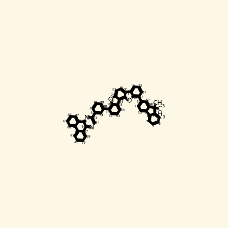 CC1(C)c2ccccc2-c2ccc(-c3cccc4c3oc3c4ccc4oc5c(-c6cccc(-c7cnc8c9ccccc9c9ccccc9c8n7)c6)cccc5c43)cc21